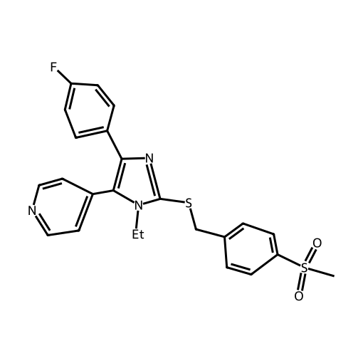 CCn1c(SCc2ccc(S(C)(=O)=O)cc2)nc(-c2ccc(F)cc2)c1-c1ccncc1